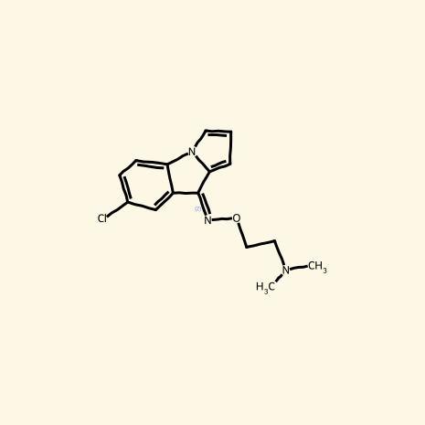 CN(C)CCO/N=C1/c2cc(Cl)ccc2-n2cccc21